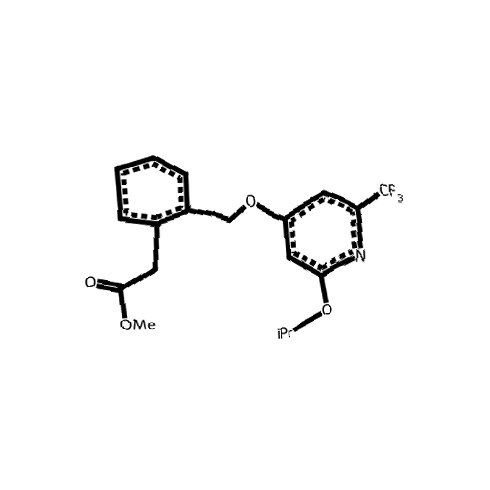 COC(=O)Cc1ccccc1COc1cc(OC(C)C)nc(C(F)(F)F)c1